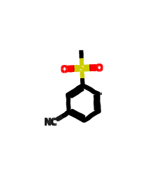 CS(=O)(=O)c1[c]ccc(C#N)c1